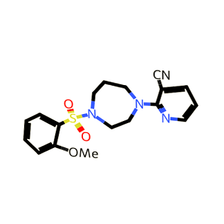 COc1ccccc1S(=O)(=O)N1CCCN(c2ncccc2C#N)CC1